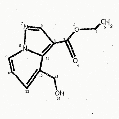 CCOC(=O)c1cnn2cccc(CO)c12